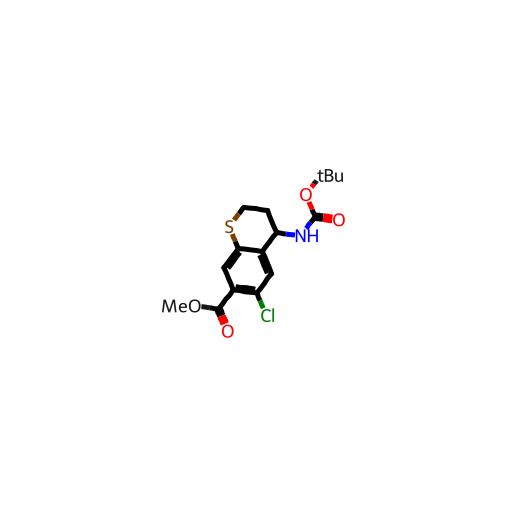 COC(=O)c1cc2c(cc1Cl)C(NC(=O)OC(C)(C)C)CCS2